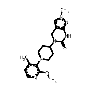 COc1nccc(C)c1N1CCC(N2Cc3cn(C)nc3NC2=O)CC1